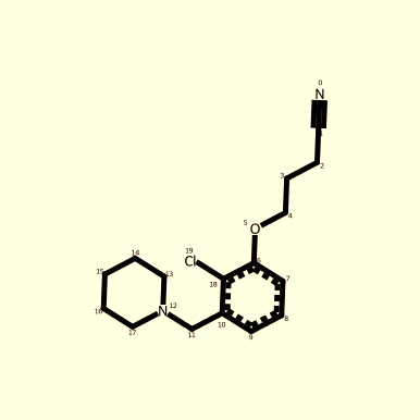 N#CCCCOc1cccc(CN2CCCCC2)c1Cl